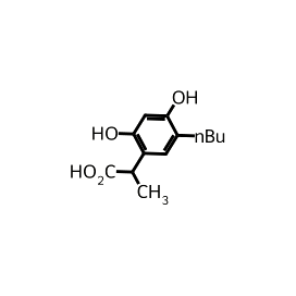 CCCCc1cc(C(C)C(=O)O)c(O)cc1O